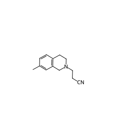 Cc1ccc2c(c1)CN(CCC#N)CC2